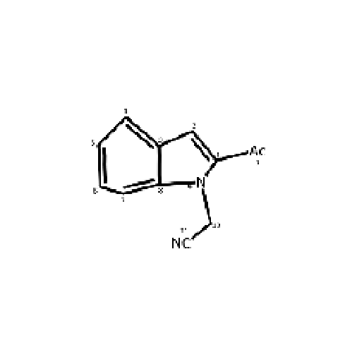 CC(=O)c1cc2ccccc2n1CC#N